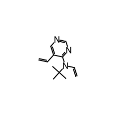 C=Cc1cncnc1N(C=C)C(C)(C)C